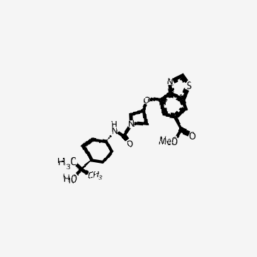 COC(=O)c1cc(OC2CN(C(=O)N[C@H]3CC[C@H](C(C)(C)O)CC3)C2)c2ncsc2c1